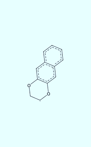 [CH]1COc2cc3ccccc3cc2O1